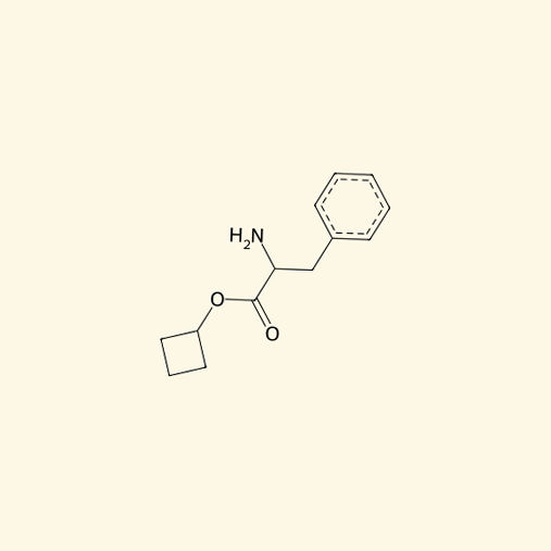 NC(Cc1ccccc1)C(=O)OC1CCC1